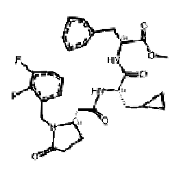 COC(=O)[C@H](Cc1ccccc1)NC(=O)[C@H](CC1CC1)NC(=O)C[C@@H]1CCC(=O)N1Cc1cccc(F)c1F